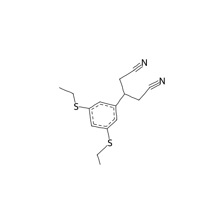 CCSc1cc(SCC)cc(C(CC#N)CC#N)c1